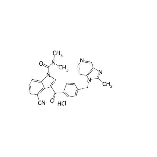 Cc1nc2cnccc2n1Cc1ccc(C(=O)c2cn(C(=O)N(C)C)c3cccc(C#N)c23)cc1.Cl